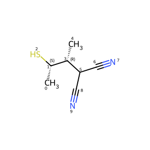 C[C@H](S)[C@H](C)C(C#N)C#N